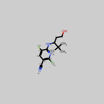 CC(C)(C)C(CCO)Nc1nc(Cl)c(C#N)cc1F